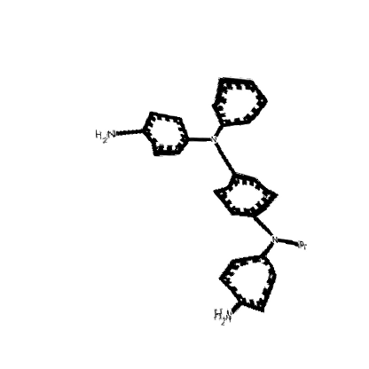 CC(C)N(c1ccc(N)cc1)c1ccc(N(c2ccccc2)c2ccc(N)cc2)cc1